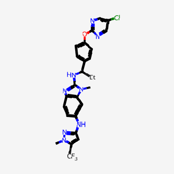 CCC(Nc1nc2ccc(Nc3cc(C(F)(F)F)n(C)n3)cc2n1C)c1ccc(Oc2ncc(Cl)cn2)cc1